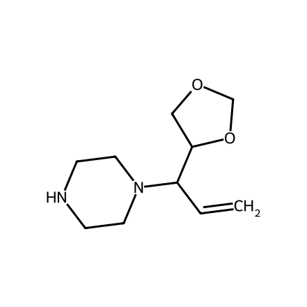 C=CC(C1COCO1)N1CCNCC1